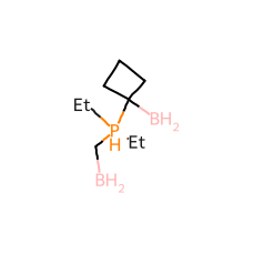 BC[PH](CC)(CC)C1(B)CCC1